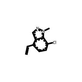 C=Cc1ccc(Cl)c2c1cnn2C